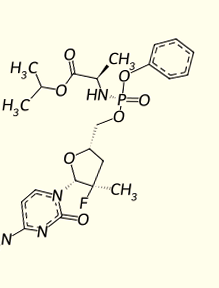 CC(C)OC(=O)[C@@H](C)N[P@](=O)(OC[C@@H]1C[C@@](C)(F)[C@H](n2ccc(N)nc2=O)O1)Oc1ccccc1